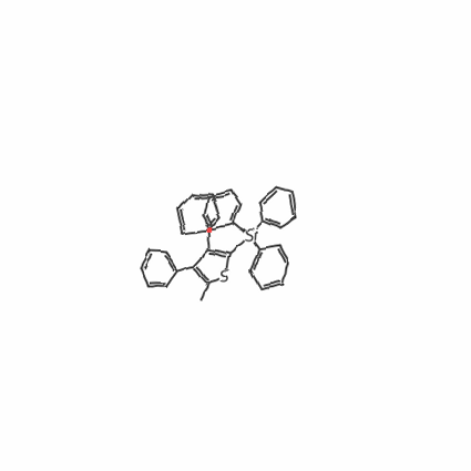 Cc1sc([Si](c2ccccc2)(c2ccccc2)c2ccccc2)c(-c2ccccc2)c1-c1ccccc1